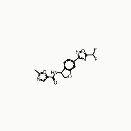 Cc1ncc(C(=O)NC2COc3cc(-c4noc(C(F)F)n4)ccc32)o1